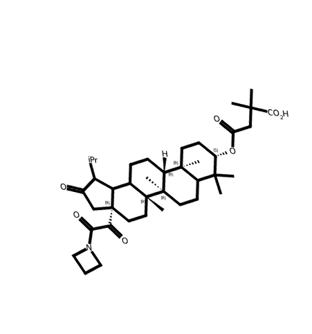 CC(C)C1C(=O)C[C@]2(C(=O)C(=O)N3CCC3)CC[C@]3(C)C(CC[C@@H]4[C@@]5(C)CC[C@H](OC(=O)CC(C)(C)C(=O)O)C(C)(C)C5CC[C@]43C)C12